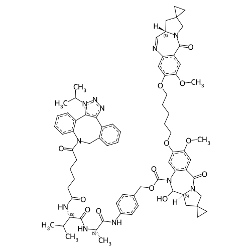 COc1cc2c(cc1OCCCCCOc1cc3c(cc1OC)C(=O)N1CC4(CC4)C[C@H]1C(O)N3C(=O)OCc1ccc(NC(=O)[C@H](C)NC(=O)[C@@H](NC(=O)CCCCC(=O)N3Cc4ccccc4-c4nnn(C(C)C)c4-c4ccccc43)C(C)C)cc1)N=C[C@@H]1CC3(CC3)CN1C2=O